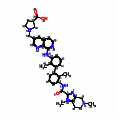 Cc1c(NC(=O)c2nc3c(n2C)CCN(C)C3)cccc1-c1cccc(Nc2nccc3cc(CN4CC[C@@H](C(=O)O)C4)cnc23)c1C